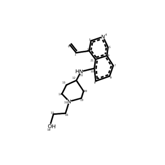 C=Cc1cncc2cccc(NC3CCN(CCO)CC3)c12